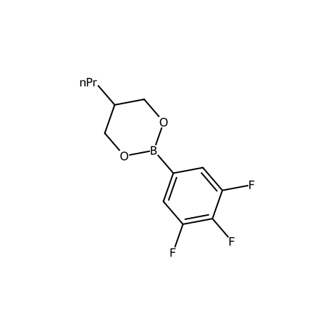 CCCC1COB(c2cc(F)c(F)c(F)c2)OC1